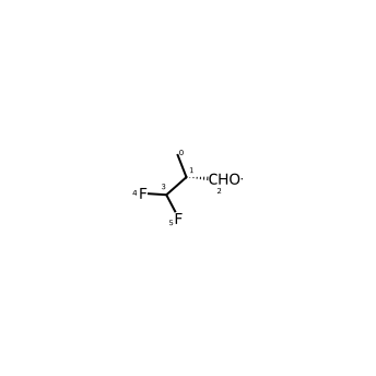 C[C@H]([C]=O)C(F)F